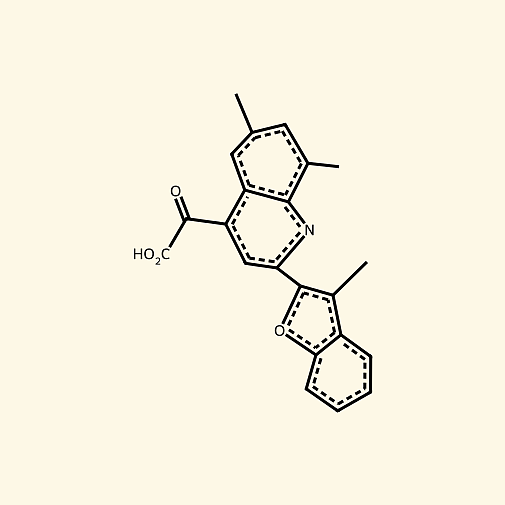 Cc1cc(C)c2nc(-c3oc4ccccc4c3C)cc(C(=O)C(=O)O)c2c1